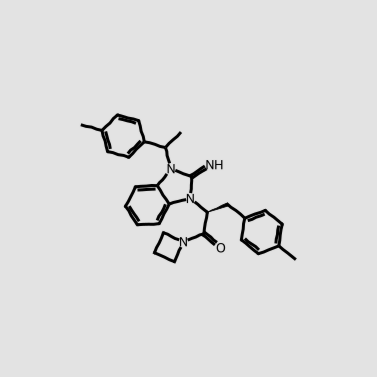 Cc1ccc(C[C@@H](C(=O)N2CCC2)n2c(=N)n(C(C)c3ccc(C)cc3)c3ccccc32)cc1